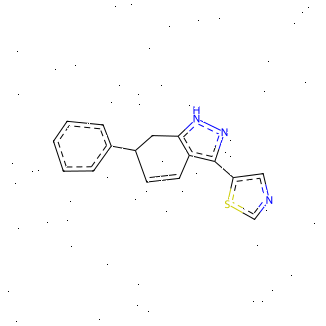 C1=CC(c2ccccc2)Cc2[nH]nc(-c3cncs3)c21